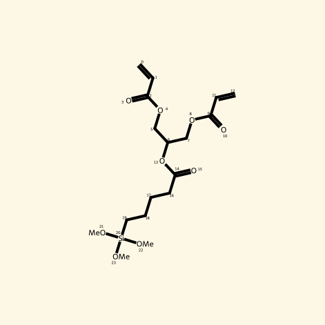 C=CC(=O)OCC(COC(=O)C=C)OC(=O)CCCC[Si](OC)(OC)OC